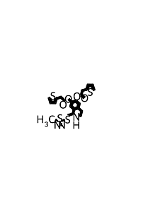 Cc1nnc(SCC2NCCc3cc(OC(=O)Cc4cccs4)c(OC(=O)Cc4cccs4)cc32)s1